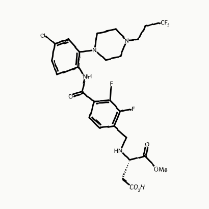 COC(=O)[C@H](CC(=O)O)NCc1ccc(C(=O)Nc2ccc(Cl)cc2N2CCN(CCC(F)(F)F)CC2)c(F)c1F